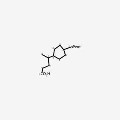 CCCCCC1CCC(C(C)CCC(=O)O)CC1